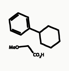 COCC(=O)O.c1ccc(C2CCCCC2)cc1